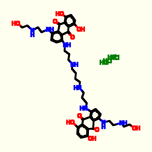 Cl.Cl.Cl.Cl.O=C1c2c(O)ccc(O)c2C(=O)c2c(NCCNCCO)ccc(NCCCNCCCCNCCCNc3ccc(NCCNCCO)c4c3C(=O)c3c(O)ccc(O)c3C4=O)c21